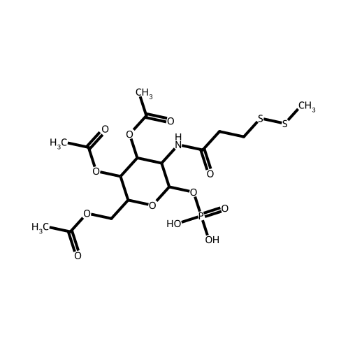 CSSCCC(=O)NC1C(OP(=O)(O)O)OC(COC(C)=O)C(OC(C)=O)C1OC(C)=O